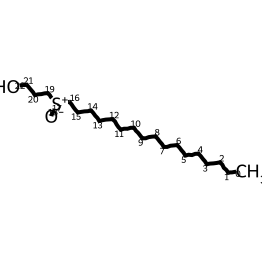 CCCCCCCCCCCCCCCCC[S+]([O-])CCCO